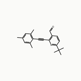 Cc1cc(C)c(C#Cc2nc(C(C)(C)C)ccc2C=O)c(C)c1